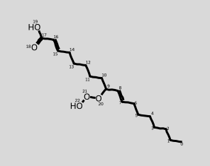 CCCCCCCC=CC(CCCCCC=CC(=O)O)OOO